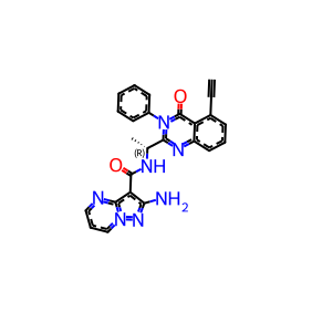 C#Cc1cccc2nc([C@@H](C)NC(=O)c3c(N)nn4cccnc34)n(-c3ccccc3)c(=O)c12